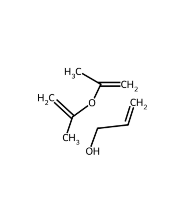 C=C(C)OC(=C)C.C=CCO